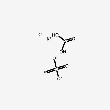 O=S(O)O.O=S([O-])([O-])=S.[K+].[K+]